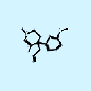 C=CCC1(c2cccc(OC)c2)CCN(C)C=C1C